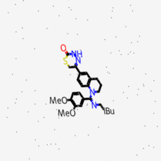 CCC(C)C/N=C(/c1ccc(OC)c(OC)c1)N1CCCc2cc(C3=NNC(=O)SC3)ccc21